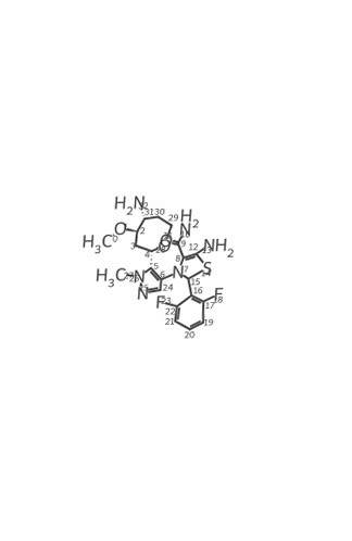 CO[C@@H]1C[C@@H](c2c(N3C(C(N)=O)=C(N)SC3c3c(F)cccc3F)cnn2C)OCC[C@H]1N